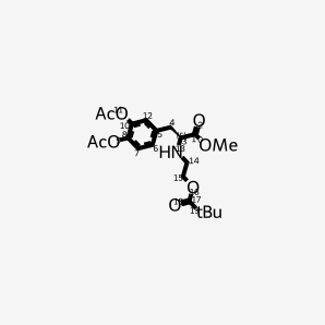 COC(=O)[C@H](Cc1ccc(OC(C)=O)c(OC(C)=O)c1)NCCOC(=O)C(C)(C)C